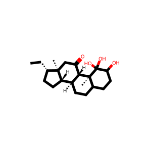 CC[C@H]1CC[C@H]2[C@@H]3CCC4CCC(O)C(O)(O)[C@]4(C)[C@H]3C(=O)C[C@]12C